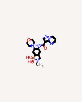 CN1Cc2cc(NC(=O)c3cnn4cccnc34)c(N3CCOCC3)cc2S1(O)O